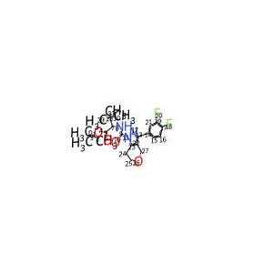 CC(C)(C)OC(=O)[C@@H](NC(=O)n1nc(-c2ccc(F)c(F)c2)c2c1CCOC2)C(C)(C)C